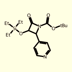 CC[Si](CC)(CC)OC1C(=O)N(C(=O)OC(C)(C)C)C1c1ccncc1